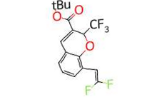 CC(C)(C)OC(=O)C1=Cc2cccc(C=C(F)F)c2OC1C(F)(F)F